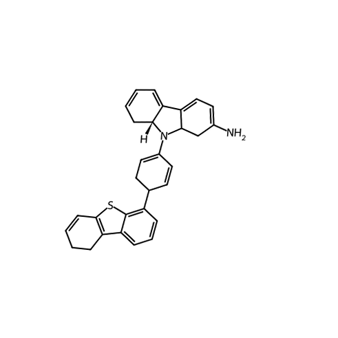 NC1=CC=C2C3=CC=CC[C@H]3N(C3=CCC(c4cccc5c6c(sc45)C=CCC6)C=C3)C2C1